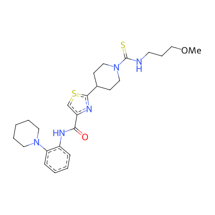 COCCCNC(=S)N1CCC(c2nc(C(=O)Nc3ccccc3N3CCCCC3)cs2)CC1